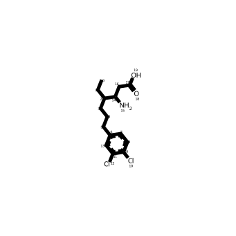 CCC(CCCc1ccc(Cl)c(Cl)c1)C(N)CC(=O)O